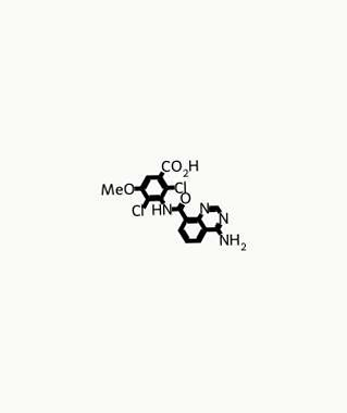 COc1cc(C(=O)O)c(Cl)c(NC(=O)c2cccc3c(N)ncnc23)c1Cl